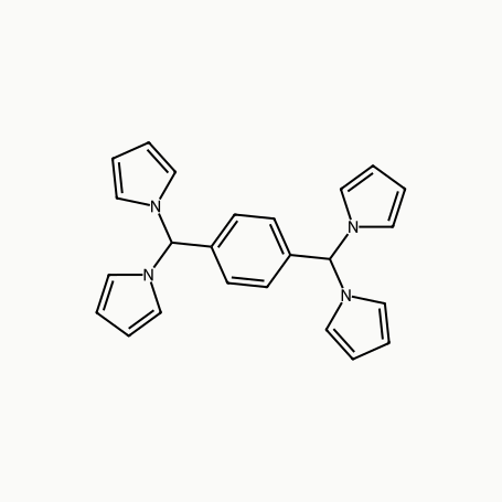 c1ccn(C(c2ccc(C(n3cccc3)n3cccc3)cc2)n2cccc2)c1